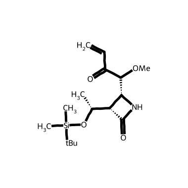 C=CC(=O)C(OC)[C@@H]1NC(=O)[C@@H]1[C@@H](C)O[Si](C)(C)C(C)(C)C